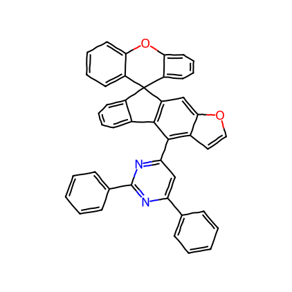 c1ccc(-c2cc(-c3c4c(cc5occc35)C3(c5ccccc5Oc5ccccc53)c3ccccc3-4)nc(-c3ccccc3)n2)cc1